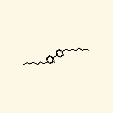 CCCCCCCCc1ccc(-c2ccc(CCCCCCC)cn2)cc1